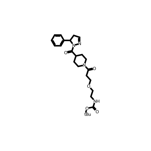 CC(C)(C)OC(=O)NCCOCCC(=O)N1CCC(C(=O)N2N=CCC2c2ccccc2)CC1